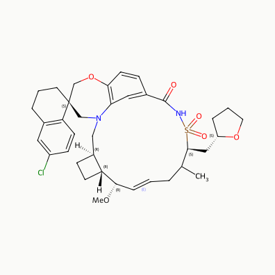 CO[C@H]1/C=C/CC(C)[C@H](C[C@@H]2CCCO2)S(=O)(=O)NC(=O)c2ccc3c(c2)N(C[C@@H]2CC[C@H]21)C[C@@]1(CCCc2cc(Cl)ccc21)CO3